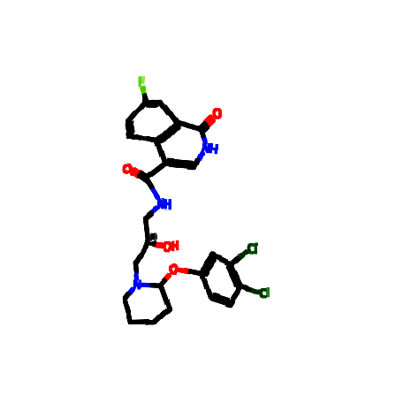 O=C(NC[C@@H](O)CN1CCCCC1Oc1ccc(Cl)c(Cl)c1)c1c[nH]c(=O)c2cc(F)ccc12